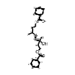 CC(CCOC(=O)c1ccccc1)N=NC(C)(O)CCOC(=O)c1ccccc1